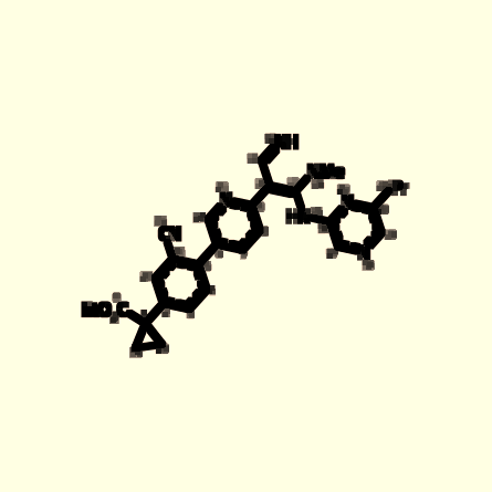 CCOC(=O)C1(c2ccc(-c3ccc(/C(C=N)=C(/NC)Nc4cncc(C(C)C)n4)nc3)c(C#N)c2)CC1